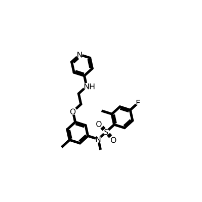 Cc1cc(OCCNc2ccncc2)cc(N(C)S(=O)(=O)c2ccc(F)cc2C)c1